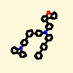 c1ccc(-c2ccc(-c3cccc(N(c4ccc(-c5cccc(-c6ccc(-n7c8ccccc8c8ccccc87)cc6)c5)cc4)c4cccc(-c5cccc6oc7ccccc7c56)c4)c3)cc2)cc1